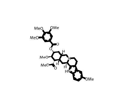 COC(=O)[C@H]1[C@H]2C[C@@H]3c4[nH]c5ccc(OC)cc5c4CCN3C[C@H]2C[C@@H](OC(=O)c2cc(OC)c(OC)c(OC)c2)[C@@H]1OC